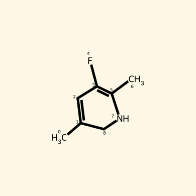 CC1=CC(F)=C(C)NC1